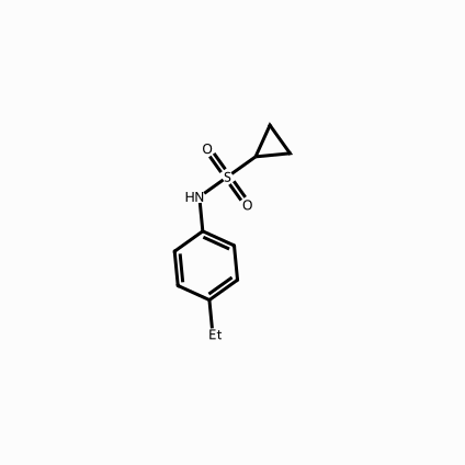 CCc1ccc(NS(=O)(=O)C2CC2)cc1